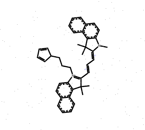 CN1/C(=C/C=C/C2=[N+](CCCC3C=CC=C3)c3ccc4ccccc4c3C2(C)C)C(C)(C)c2c1ccc1ccccc21